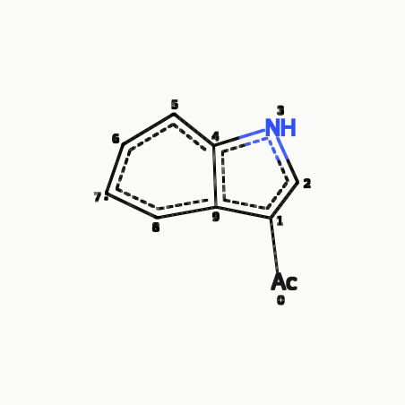 CC(=O)c1c[nH]c2cc[c]cc12